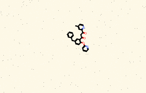 Cc1ccnc(C(=O)CC(=O)c2cc(Cc3ccccc3)ccc2Oc2ccccn2)c1